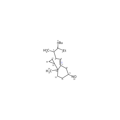 CCCCC(CC)C(C)C/C=C1/CC(N=O)CCC1(C)C1CC1